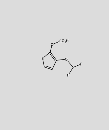 O=C(O)Oc1sccc1OC(F)F